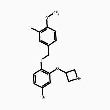 FC(F)(F)Oc1ccc(COc2ccc(Br)cc2OC2CNC2)cc1Cl